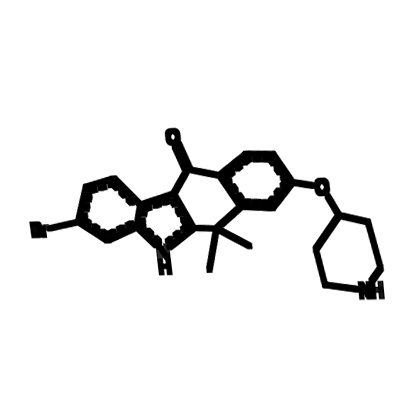 CC1(C)c2cc(OC3CCNCC3)ccc2C(=O)c2c1[nH]c1cc(Br)ccc21